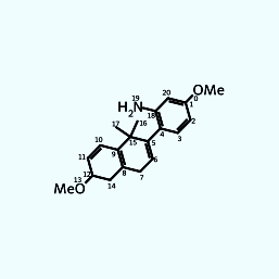 COc1ccc(C2=CCC3=C(C=CC(OC)C3)C2(C)C)c(N)c1